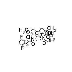 COc1ccc(-c2ccc(C(C)O)cc2)cc1CN(C(=O)c1sc2c(F)ccc(F)c2c1Cl)[C@H]1CC[C@H](N(C(=O)O)C(C)(C)C)CC1